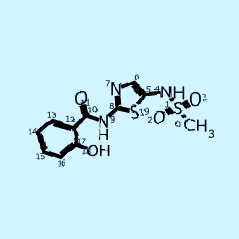 CS(=O)(=O)Nc1cnc(NC(=O)c2ccccc2O)s1